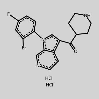 Cl.Cl.O=C(c1cn(-c2ccc(F)cc2Br)c2cnccc12)C1CCNCC1